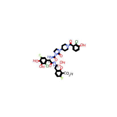 O=C(O)c1c(F)ccc2c1OB(O)[C@@H](NC(=O)[C@@H](NC(=O)N1CCN(C3CCN(C(=O)c4cccc(O)c4Cl)CC3)C1=O)c1cc(F)c(O)c(O)c1Cl)C2